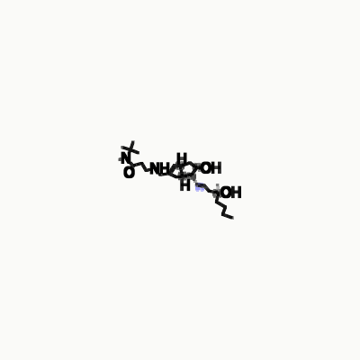 CCCC[C@](C)(O)C/C=C/[C@@H]1[C@H]2CC(CNCCC(=O)N(C)C(C)(C)C)=C[C@H]2C[C@H]1O